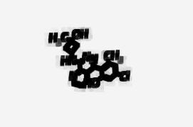 Cc1cc(Cl)cc(O)c1-c1nnc(NC2CC(C)(O)C2)c2ncccc12